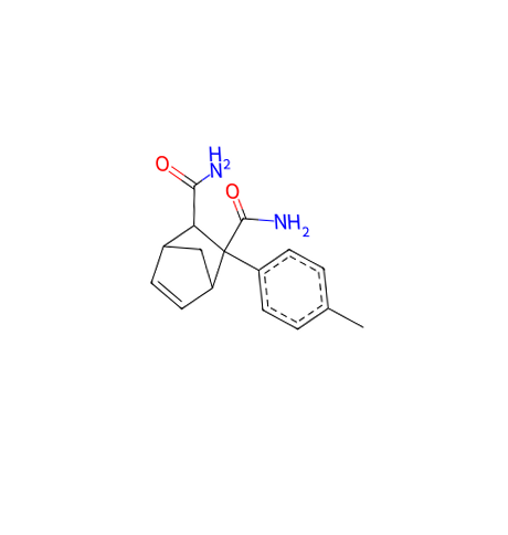 Cc1ccc(C2(C(N)=O)C3C=CC(C3)C2C(N)=O)cc1